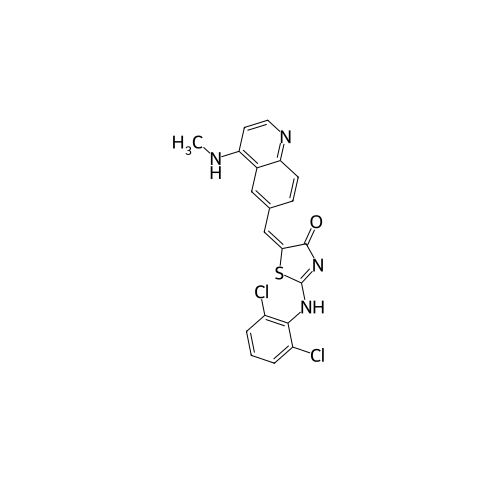 CNc1ccnc2ccc(/C=C3/SC(Nc4c(Cl)cccc4Cl)=NC3=O)cc12